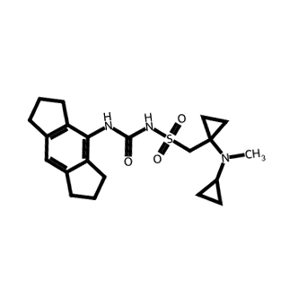 CN(C1CC1)C1(CS(=O)(=O)NC(=O)Nc2c3c(cc4c2CCC4)CCC3)CC1